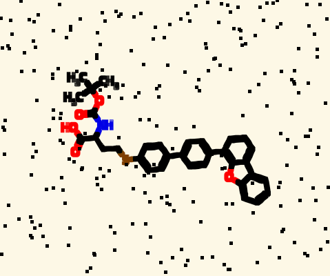 CC(C)(C)OC(=O)N[C@@H](CCSc1ccc(-c2ccc(-c3cccc4c3oc3ccccc34)cc2)cc1)C(=O)O